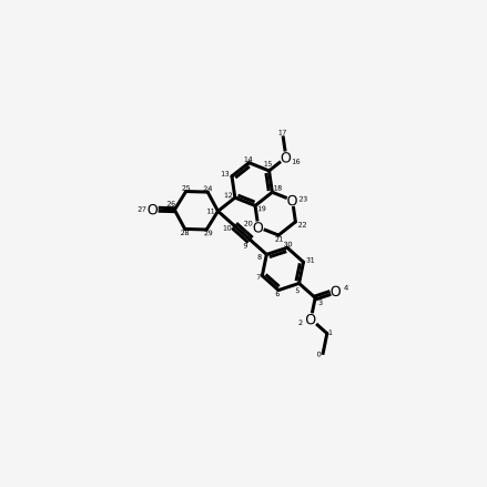 CCOC(=O)c1ccc(C#CC2(c3ccc(OC)c4c3OCCO4)CCC(=O)CC2)cc1